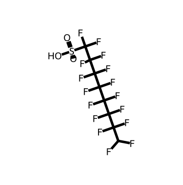 O=S(=O)(O)C(F)(F)C(F)(F)C(F)(F)C(F)(F)C(F)(F)C(F)(F)C(F)(F)C(F)F